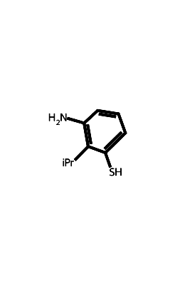 CC(C)c1c(N)cccc1S